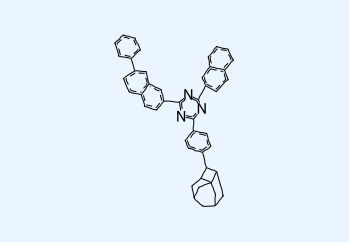 c1ccc(-c2ccc3ccc(-c4nc(-c5ccc(C6C7CC8CC9CC6C7(C8)C9)cc5)nc(-c5ccc6ccccc6c5)n4)cc3c2)cc1